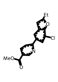 CCc1cc2cc(-c3ccc(C(=O)OC)cn3)cc(Cl)c2o1